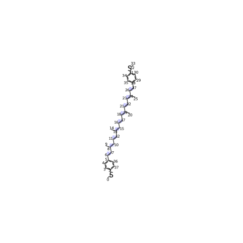 CSc1ccc(/C=C/C(C)=C/C=C/C(C)=C/C=C/C=C(C)/C=C/C=C(C)/C=C/c2ccc(SC)cc2)cc1